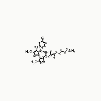 Cc1sc2c(c1C)[C@H](c1ccc(Cl)cc1)N[C@@H](CC(=O)NCCCCCN)c1nnc(C)n1-2